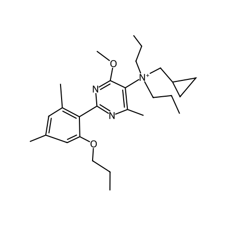 CCCOc1cc(C)cc(C)c1-c1nc(C)c([N+](CCC)(CCC)CC2CC2)c(OC)n1